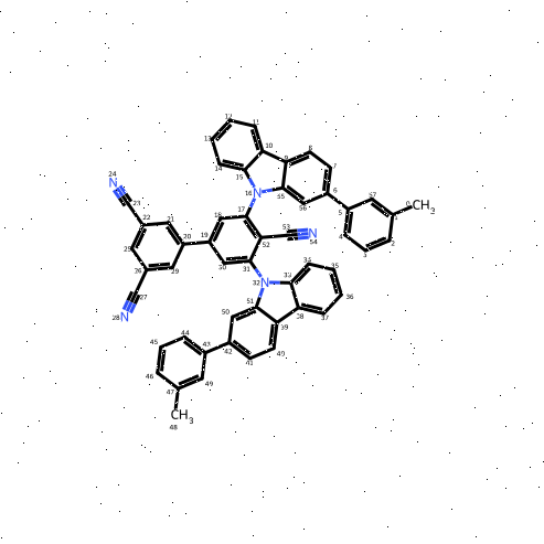 Cc1cccc(-c2ccc3c4ccccc4n(-c4cc(-c5cc(C#N)cc(C#N)c5)cc(-n5c6ccccc6c6ccc(-c7cccc(C)c7)cc65)c4C#N)c3c2)c1